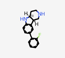 Fc1ccccc1-c1ccc2c(c1)[C@@H]1CNCC[C@@H]1N2